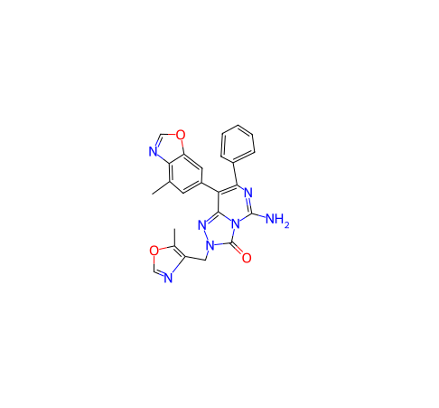 Cc1ocnc1Cn1nc2c(-c3cc(C)c4ncoc4c3)c(-c3ccccc3)nc(N)n2c1=O